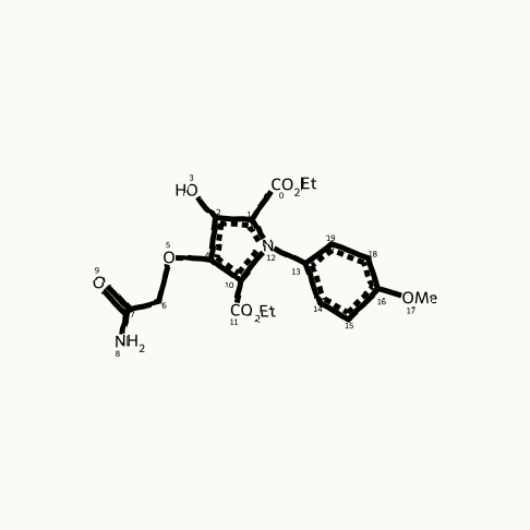 CCOC(=O)c1c(O)c(OCC(N)=O)c(C(=O)OCC)n1-c1ccc(OC)cc1